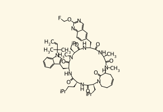 C=CC(C)(C)n1cc(C[C@@H]2NC(=O)[C@H](CCC(C)C)NC(=O)[C@H](CC(C)C)N3CC/C=C\C[C@@H](C3=O)N(C)C(=O)[C@H](C)NC(=O)[C@H](Cc3ccc4nc(OCF)ncc4c3)NC(=O)[C@H](CC(C)C)N(C)C2=O)c2ccccc21